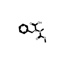 COC(=O)N(C)[C@@H](Cc1ccccc1)C(=O)O